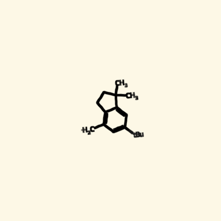 [CH2]c1cc(C(C)(C)C)cc2c1CCC2(C)C